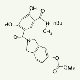 CCCCN(C)C(=O)c1cc(C(=O)N2Cc3ccc(OC(=O)OC)cc3C2)c(O)cc1O